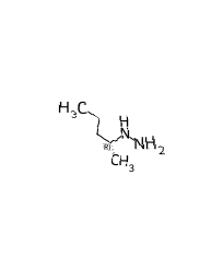 CCC[C@@H](C)NN